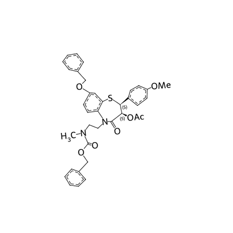 COc1ccc([C@@H]2Sc3cc(OCc4ccccc4)ccc3N(CCN(C)C(=O)OCc3ccccc3)C(=O)[C@@H]2OC(C)=O)cc1